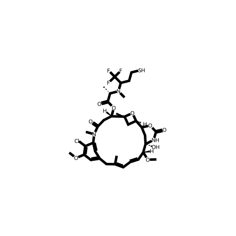 COc1cc2cc(c1Cl)N(C)C(=O)C[C@H](OC(=O)[C@H](C)N(C)C(CCS)C(F)(F)F)[C@@]1(C)C[C@@](C)(O1)[C@@H]1C[C@@](O)(NC(=O)O1)[C@H](OC)/C=C/C=C(\C)C2